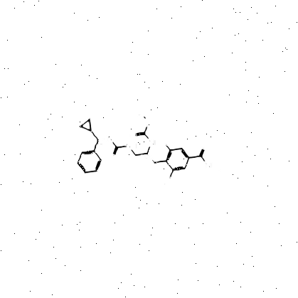 Cc1cc(C(N)=O)cc(C)c1C[C@@H](CNC(=O)N[C@H](c1ccccc1)C1CC1)NC(=O)OC(C)(C)C